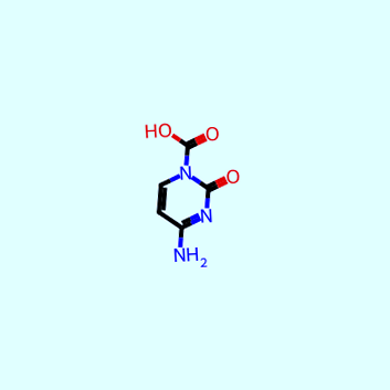 Nc1ccn(C(=O)O)c(=O)n1